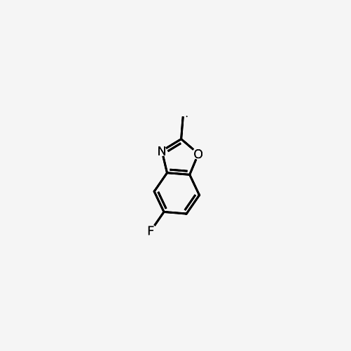 [CH2]c1nc2cc(F)ccc2o1